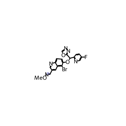 CO/N=C/c1cnc2ccc(OC(c3ccc(F)cn3)c3nnco3)c(Br)c2c1